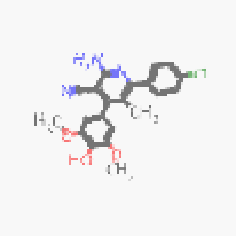 COc1cc(-c2c(C)c(-c3ccc(Cl)cc3)nc(N)c2C#N)cc(OC)c1O